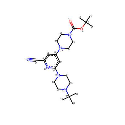 CC(C)(C)OC(=O)N1CCN(c2cc(C#N)nc(N3CCN(C(C)(C)C)CC3)c2)CC1